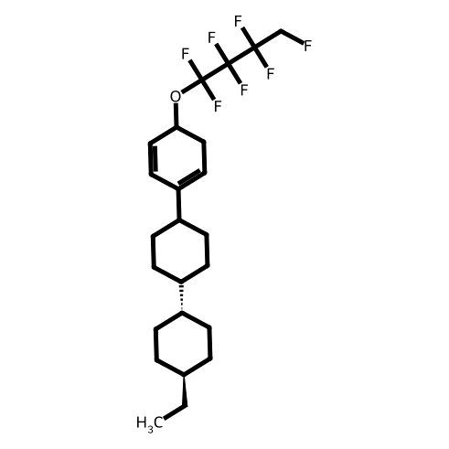 CC[C@H]1CC[C@H](C2CCC(C3=CCC(OC(F)(F)C(F)(F)C(F)(F)CF)C=C3)CC2)CC1